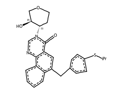 CC(C)Sc1ccc(Cc2cc3c(=O)n([C@H]4CCOC[C@@H]4O)cnc3c3ccccc23)cc1